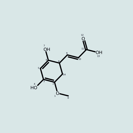 COC1=C(O)C=C(O)C(C=CC(=O)O)C1